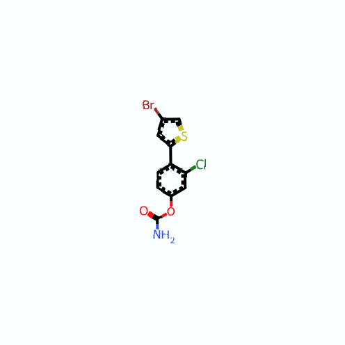 NC(=O)Oc1ccc(-c2cc(Br)cs2)c(Cl)c1